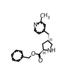 Cc1cc(C[C@@H]2CN[C@@H](C(=O)OCc3ccccc3)C2)ccn1